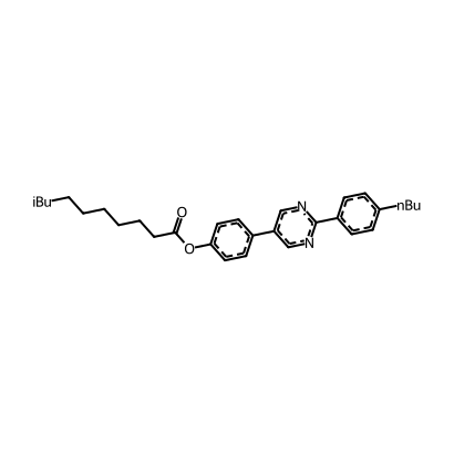 CCCCc1ccc(-c2ncc(-c3ccc(OC(=O)CCCCCCC(C)CC)cc3)cn2)cc1